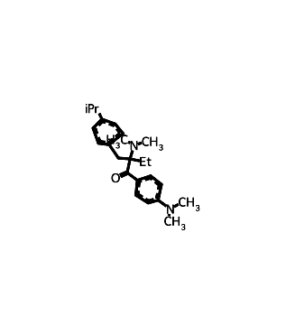 CCC(Cc1ccc(C(C)C)cc1)(C(=O)c1ccc(N(C)C)cc1)N(C)C